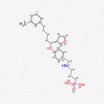 Cc1cccc(CCCCCOc2ccc(CNCCCP(=O)(O)O)cc2-c2ccco2)c1